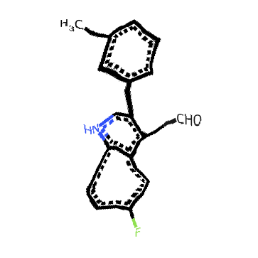 Cc1cccc(-c2[nH]c3ccc(F)cc3c2C=O)c1